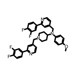 COc1ccc(N(Cc2ccnc(-c3ccc(F)c(F)c3)c2)C2CCN(Cc3ccnc(-c4ccc(F)c(F)c4)c3)CC2)cc1